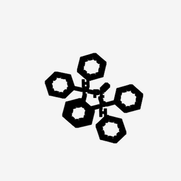 [CH2]=[Pt]([PH](c1ccccc1)(c1ccccc1)c1ccccc1)[PH](c1ccccc1)(c1ccccc1)c1ccccc1